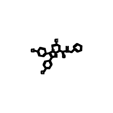 O=C(NCc1ccccc1)c1cc(Cl)cn2c(-c3ccc(Cl)cc3)c(-c3ccc(Cl)cc3)nc12